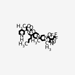 CCCCC1CN([C@H](C(C)=O)C2CCCNC2)C(=O)OC12CCN(C1(C)CCN(C(=O)c3c(C)noc3C(F)(F)F)CC1)CC2